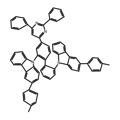 Cc1ccc(-c2ccc3c(c2)c2ccccc2n3-c2ccccc2-c2ccc(-c3cc(-c4ccccc4)nc(-c4ccccc4)n3)cc2-n2c3ccccc3c3cc(-c4ccc(C)cc4)ccc32)cc1